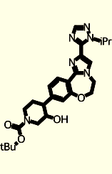 CC(C)n1ncnc1-c1cn2c(n1)-c1ccc(C3CCN(C(=O)OC(C)(C)C)CC3O)cc1OCC2